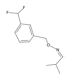 CC(C)/[C]=N\OCc1cccc(C(F)F)c1